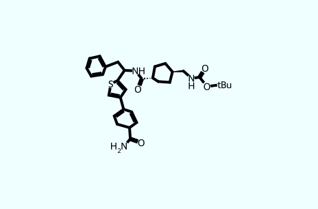 CC(C)(C)OC(=O)NC[C@H]1CC[C@H](C(=O)NC(Cc2ccccc2)c2cc(C3=CCC(C(N)=O)C=C3)cs2)CC1